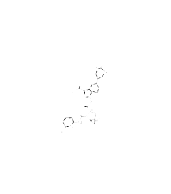 CC(=O)c1nn(CC(=O)[C@@H]2C[C@H]3C[C@H]3N2C(=O)Nc2cccc(Br)n2)c2ccc(-c3cnc(C)nc3)cc12